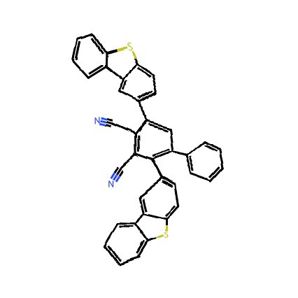 N#Cc1c(-c2ccc3sc4ccccc4c3c2)cc(-c2ccccc2)c(-c2ccc3sc4ccccc4c3c2)c1C#N